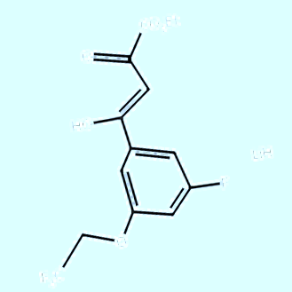 CCOC(=O)C(=O)C=C(O)c1cc(F)cc(OCC(F)(F)F)c1.[LiH]